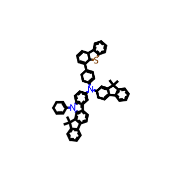 CC1(C)C2=CC(N(C3=CC=C(C4=CC=CC5c6ccccc6SC45)CC3)c3ccc4c(c3)c3ccc5c(c3n4C3=CCCC=C3)C(C)(C)c3ccccc3-5)CC=C2c2ccccc21